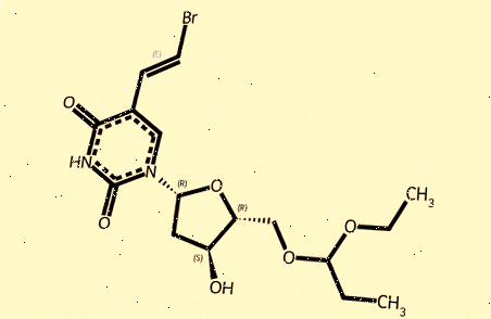 CCOC(CC)OC[C@H]1O[C@@H](n2cc(/C=C/Br)c(=O)[nH]c2=O)C[C@@H]1O